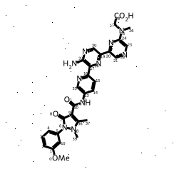 COc1cccc(-n2c(=O)c(C(=O)Nc3ccc(-c4nc(-c5cncc(N(C)CC(=O)O)n5)cnc4N)nc3)c(C)n2C)c1